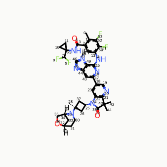 Cc1c(C(=O)NC2(C(F)F)CC2)cc(Nc2nc(-c3cnc4c(c3)N([C@H]3C[C@@](C)(N5CC[C@H]6C[C@@H]5CO6)C3)C(=O)C4(C)C)cc3ncn(C(C)C)c23)c(F)c1F